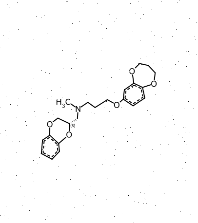 CN(CCCOc1ccc2c(c1)OCCCO2)C[C@H]1COc2ccccc2O1